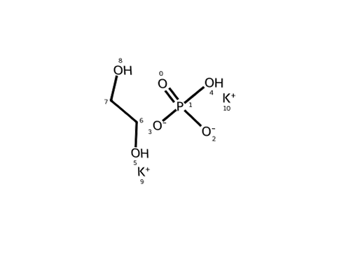 O=P([O-])([O-])O.OCCO.[K+].[K+]